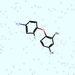 CC(C)(C)c1cc(C#N)ccc1Oc1ccc(N)cc1F